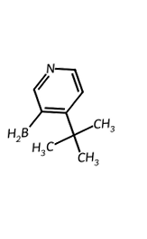 Bc1cnccc1C(C)(C)C